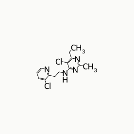 CCc1nc(C)nc(NCCc2ncccc2Cl)c1Cl